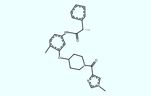 Cc1ccc(NC(=O)[C@@H](C)c2ccccc2)cc1OC1CCN(C(=O)c2cn(C)cn2)CC1